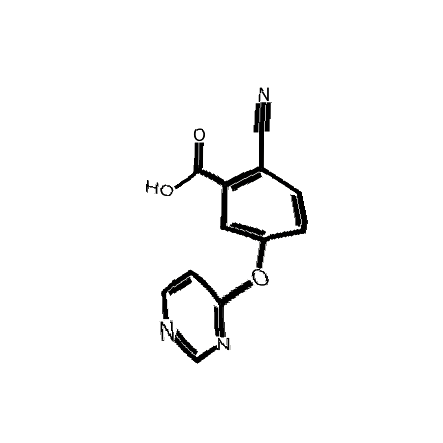 N#Cc1ccc(Oc2ccncn2)cc1C(=O)O